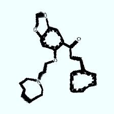 O=C(/C=C/c1ccccc1)c1cc2c(cc1OCCN1CCCCC1)OCO2